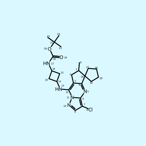 CC1Cc2c(nc3c(Cl)cnn3c2NC2CC(NC(=O)OC(C)(C)C)C2)C12CCCC2